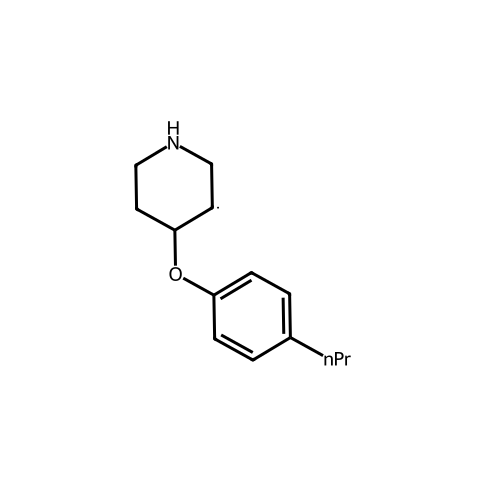 CCCc1ccc(OC2[CH]CNCC2)cc1